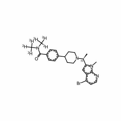 [2H]C([2H])([2H])N(C(=O)c1ccc(C2CCN([C@@H](C)c3cc4c(Br)ccnc4n3C)CC2)cc1)C([2H])([2H])[2H]